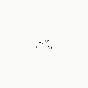 [In+3].[Na+].[O-2].[O-2]